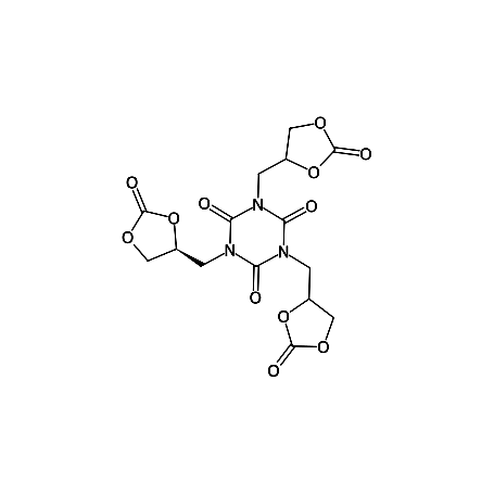 O=C1OCC(Cn2c(=O)n(CC3COC(=O)O3)c(=O)n(C[C@H]3COC(=O)O3)c2=O)O1